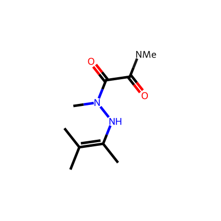 CNC(=O)C(=O)N(C)NC(C)=C(C)C